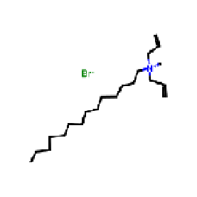 C=CC[N+](C)(CC=C)CCCCCCCCCCCCCC.[Br-]